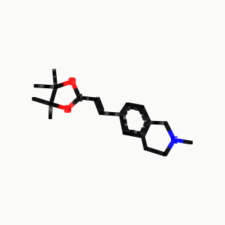 CN1CCc2cc(C=CB3OC(C)(C)C(C)(C)O3)ccc2C1